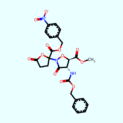 COC(=O)[C@@H]1ON(C2(C(=O)OCc3ccc([N+](=O)[O-])cc3)CCC(=O)O2)C(=O)[C@H]1NC(=O)OCc1ccccc1